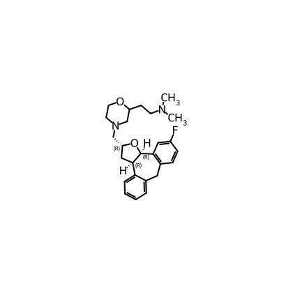 CN(C)CCC1CN(C[C@H]2C[C@@H]3c4ccccc4Cc4ccc(F)cc4[C@@H]3O2)CCO1